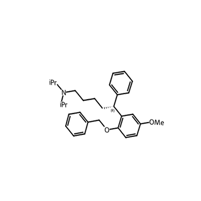 COc1ccc(OCc2ccccc2)c([C@H](CCCCN(C(C)C)C(C)C)c2ccccc2)c1